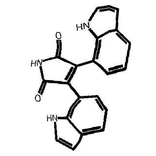 O=C1NC(=O)C(c2cccc3cc[nH]c23)=C1c1cccc2cc[nH]c12